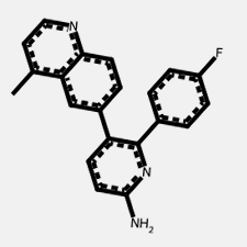 Cc1ccnc2ccc(-c3ccc(N)nc3-c3ccc(F)cc3)cc12